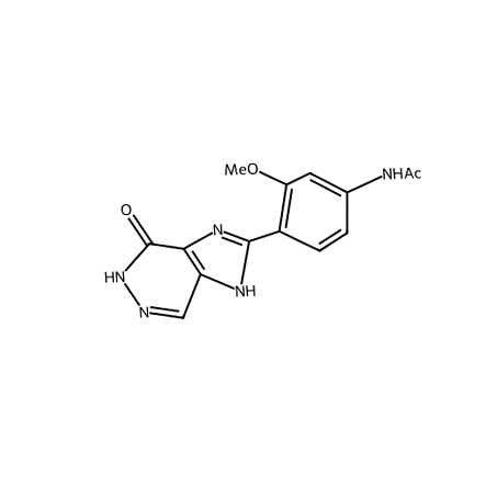 COc1cc(NC(C)=O)ccc1-c1nc2c(=O)[nH]ncc2[nH]1